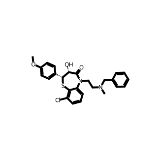 COc1ccc([C@H]2Sc3c(Cl)cccc3N(CCN(C)Cc3ccccc3)C(=O)[C@H]2O)cc1